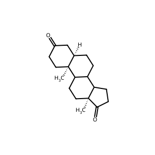 C[C@]12CCC3C(CC[C@@H]4CC(=O)CC[C@]34C)C1CCC2=O